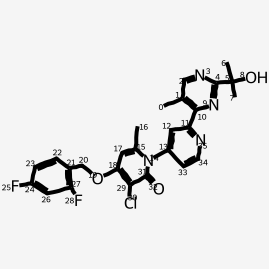 Cc1cnc(C(C)(C)O)nc1-c1cc(-n2c(C)cc(OCc3ccc(F)cc3F)c(Cl)c2=O)ccn1